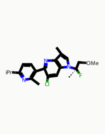 COC[C@@](C)(F)n1cc(C)c2nc(-c3ccc(C(C)C)nc3C)c(Cl)cc21